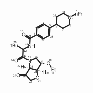 CCCN1CCC(c2ccc(C(=O)NC(C(=O)N3C[C@H](OCC)[C@H]4OCC(=O)[C@H]43)C(C)(C)C)cc2)CC1